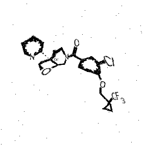 O=C(c1ccc(OCC2(C(F)(F)F)CC2)c(Cl)c1)N1CC[C@]2(c3ccccn3)COC2C1